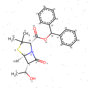 CC(O)[C@H]1C(=O)N2[C@@H]1SC(C)(C)[C@@H]2C(=O)OC(c1ccccc1)c1ccccc1